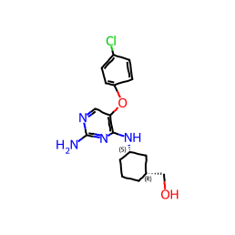 Nc1ncc(Oc2ccc(Cl)cc2)c(N[C@H]2CCC[C@@H](CO)C2)n1